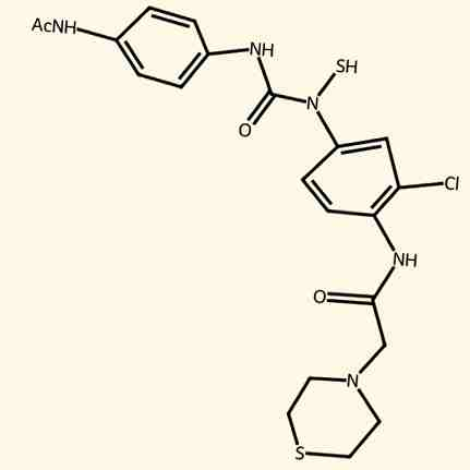 CC(=O)Nc1ccc(NC(=O)N(S)c2ccc(NC(=O)CN3CCSCC3)c(Cl)c2)cc1